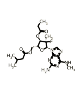 CCC(=O)O[C@@H]1[C@@H](COC(=O)CC(C)C)O[C@@H](n2cnc3c(NC)nc(N)nc32)[C@]1(C)F